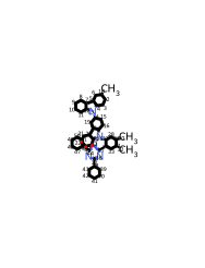 Cc1ccc2c(c1)c1ccccc1n2-c1ccc2c(c1)c1ccccc1n2-c1cc(C)c(C)cc1-c1nc(-c2ccccc2)nc(-c2ccccc2)n1